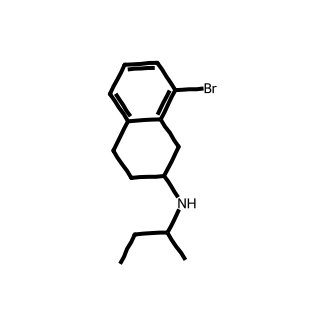 CCC(C)NC1CCc2cccc(Br)c2C1